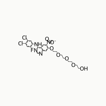 O=[N+]([O-])c1cc2c(Nc3cc(Cl)c(Cl)cc3F)ncnc2cc1OCCOCCOCCOCCO